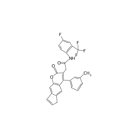 Cc1cccc(-c2c(CC(=O)Nc3ccc(F)cc3C(F)(F)F)c(=O)oc3cc4c(cc23)CC=C4)c1